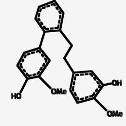 COc1ccc(CCc2ccccc2-c2ccc(O)c(OC)c2)cc1O